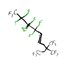 FC(F)(F)C(F)(F)C(F)(F)C(F)(F)/C=C/C(C(F)(F)F)(C(F)(F)F)C(F)(F)F